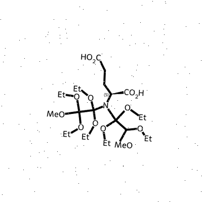 CCOC(OC)C(OCC)(OCC)N([C@@H](CCC(=O)O)C(=O)O)C(OCC)(OCC)C(OC)(OCC)OCC